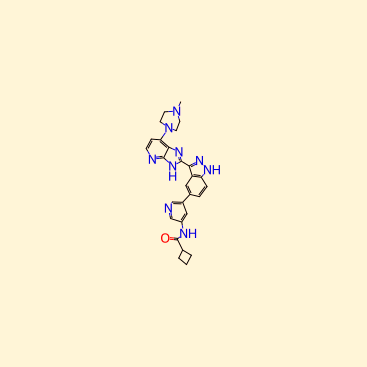 CN1CCN(c2ccnc3[nH]c(-c4n[nH]c5ccc(-c6cncc(NC(=O)C7CCC7)c6)cc45)nc23)CC1